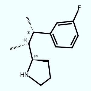 C[C@H]([C@H](C)c1cccc(F)c1)[C@H]1CCCN1